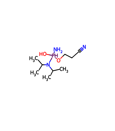 CC(C)N(C(C)C)[PH](N)(O)OCCC#N